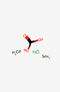 Cl.O=C(O)O.[CaH2].[SrH2]